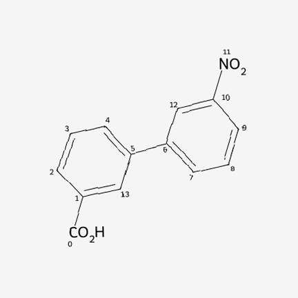 O=C(O)c1cccc(-c2cccc([N+](=O)[O-])c2)c1